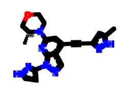 Cc1cc(C#Cc2cc(N3CCOC[C@H]3C)nc3c2cnn3-c2cc[nH]n2)n[nH]1